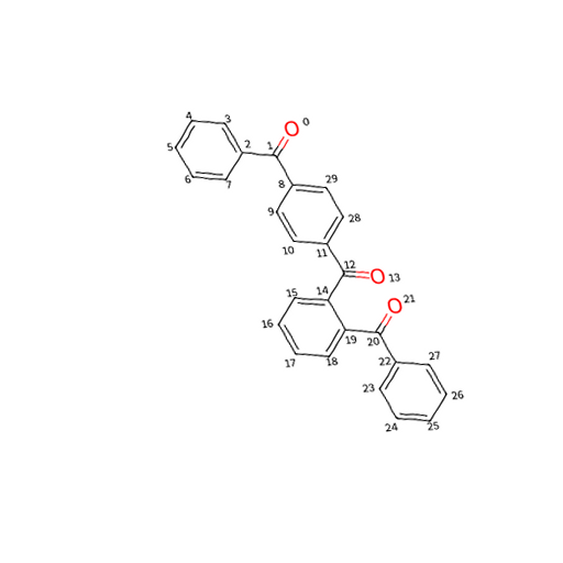 O=C(c1ccccc1)c1ccc(C(=O)c2ccccc2C(=O)c2ccccc2)cc1